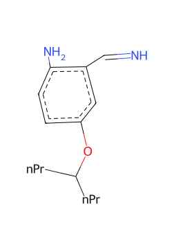 CCCC(CCC)Oc1ccc(N)c(C=N)c1